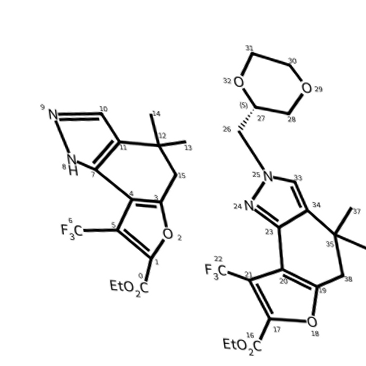 CCOC(=O)c1oc2c(c1C(F)(F)F)-c1[nH]ncc1C(C)(C)C2.CCOC(=O)c1oc2c(c1C(F)(F)F)-c1nn(C[C@H]3COCCO3)cc1C(C)(C)C2